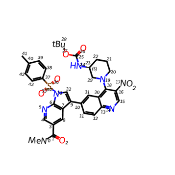 CNC(=O)c1cnc2c(c1)c(-c1ccc3ncc([N+](=O)[O-])c(N4CCC[C@H](NC(=O)OC(C)(C)C)C4)c3c1)cn2S(=O)(=O)c1ccc(C)cc1